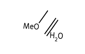 C=C.COC.O